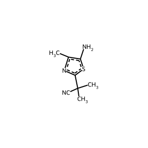 Cc1nc(C(C)(C)C#N)sc1N